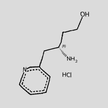 Cl.N[C@@H](CCO)Cc1ccccn1